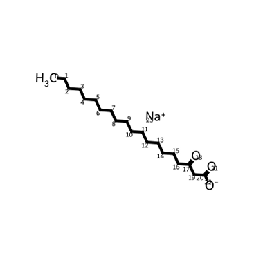 CCCCCCCCCCCCCCCCCC(=O)CC(=O)[O-].[Na+]